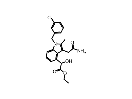 CCOC(=O)C(O)c1cccc2c1c(CC(N)=O)c(C)n2Cc1cccc(Cl)c1